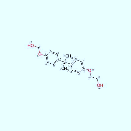 C[Si](C)(c1ccc(OCO)cc1)c1ccc(OCCO)cc1